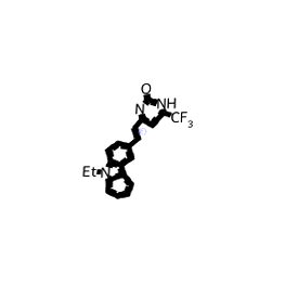 CCn1c2ccccc2c2cc(/C=C/c3cc(C(F)(F)F)[nH]c(=O)n3)ccc21